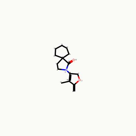 C=C1OCC(N2CCC3(CCCCC3)C2=O)=C1C